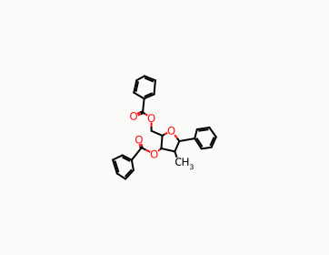 CC1C(c2ccccc2)OC(COC(=O)c2ccccc2)C1OC(=O)c1ccccc1